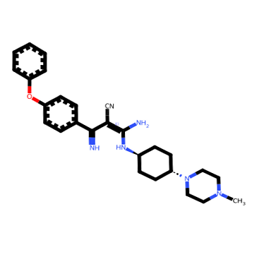 CN1CCN([C@H]2CC[C@H](N/C(N)=C(/C#N)C(=N)c3ccc(Oc4ccccc4)cc3)CC2)CC1